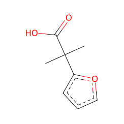 CC(C)(C(=O)O)c1ccco1